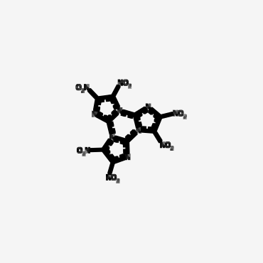 O=[N+]([O-])c1nc2n(c1[N+](=O)[O-])c1nc([N+](=O)[O-])c([N+](=O)[O-])n1c1nc([N+](=O)[O-])c([N+](=O)[O-])n21